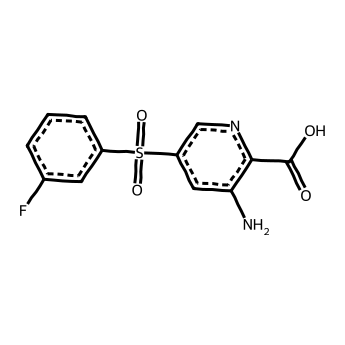 Nc1cc(S(=O)(=O)c2cccc(F)c2)cnc1C(=O)O